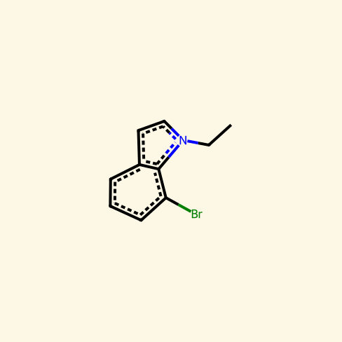 CCn1ccc2cccc(Br)c21